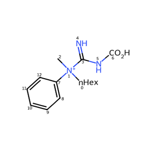 CCCCCC[N+](C)(C(=N)NC(=O)O)c1ccccc1